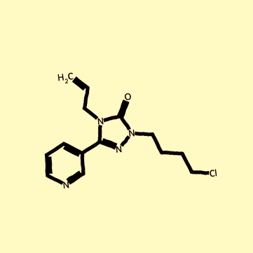 C=CCn1c(-c2cccnc2)nn(CCCCCl)c1=O